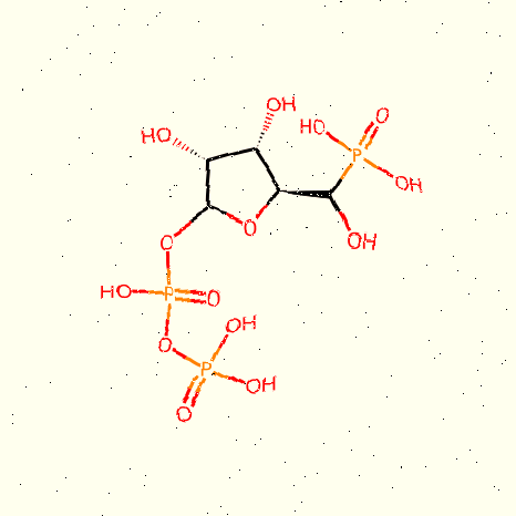 O=P(O)(O)OP(=O)(O)OC1O[C@H](C(O)P(=O)(O)O)[C@@H](O)[C@H]1O